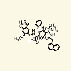 COc1cc(OC)c(OC)cc1CN[C@@H](C(=O)O)[C@H](O)[C@H](Cc1ccccc1)NC(=O)C(NC(=O)Cc1cccc2ccccc12)C(C)(C)C